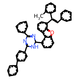 Cc1ccccc1/C(=C\c1ccccc1)c1cccc2c1oc1cccc(C3N=C(c4ccccc4)N=C(c4ccc(-c5ccccc5)cc4)N3)c12